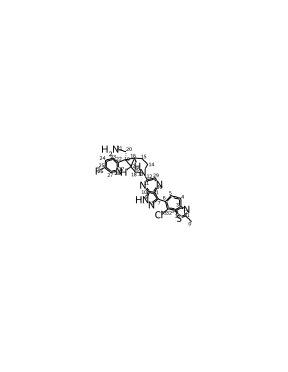 Cc1nc2ccc(-c3n[nH]c4nc(N5CC[C@@H]6[C@H](C5)[C@@]6(CN)c5ccc(F)cn5)cnc34)c(Cl)c2s1